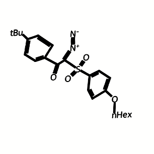 CCCCCCOc1ccc(S(=O)(=O)C(=[N+]=[N-])C(=O)c2ccc(C(C)(C)C)cc2)cc1